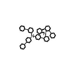 c1ccc(-c2ccc(N(c3ccc(-c4ccccc4-n4c5ccccc5c5cccc(-c6ccccc6)c54)cc3)c3cccc(-c4ccccc4)c3)cc2)cc1